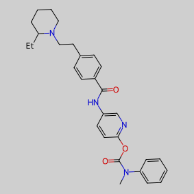 CCC1CCCCN1CCc1ccc(C(=O)Nc2ccc(OC(=O)N(C)c3ccccc3)nc2)cc1